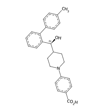 Cc1ccc(-c2ccccc2[C@@H](O)C2CCN(c3ccc(C(=O)O)cc3)CC2)cc1